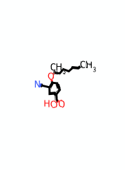 CCCCCC[C@@H](C)Oc1ccc(C(=O)O)cc1C#N